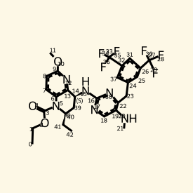 CCOC(=O)N1c2ccc(OC)nc2[C@@H](Nc2ncc(NC)c(Cc3cc(C(F)(F)F)cc(C(F)(F)F)c3)n2)C[C@H]1CC